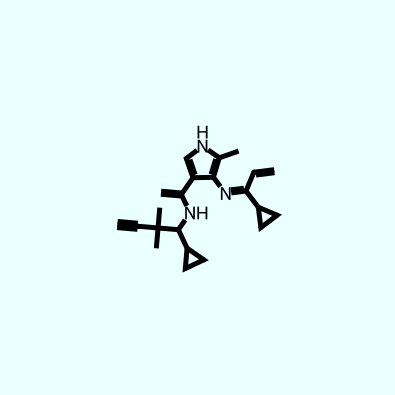 C#CC(C)(C)C(NC(=C)c1c[nH]c(C)c1/N=C(\C=C)C1CC1)C1CC1